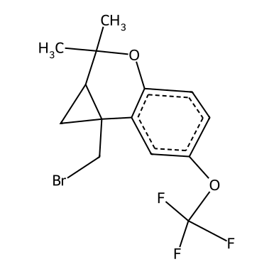 CC1(C)Oc2ccc(OC(F)(F)F)cc2C2(CBr)CC12